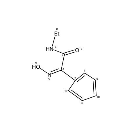 CCNC(=O)C(=NO)c1ccccc1